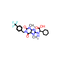 CN1C(=O)N(Cc2ccc(C(F)(F)F)cc2)C(=O)C2C1N=C(NC(C(=O)O)C1CCCCC1)N2C